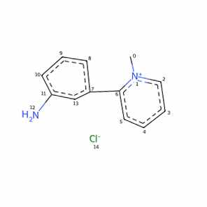 C[n+]1ccccc1-c1cccc(N)c1.[Cl-]